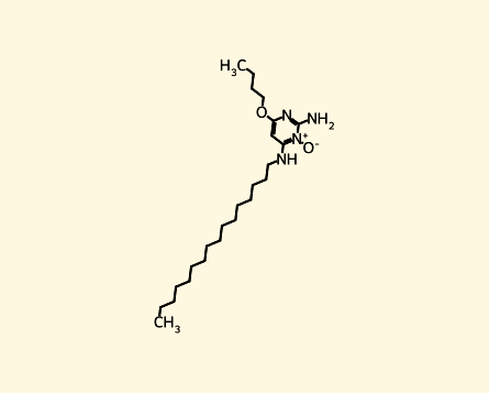 CCCCCCCCCCCCCCCCNc1cc(OCCCC)nc(N)[n+]1[O-]